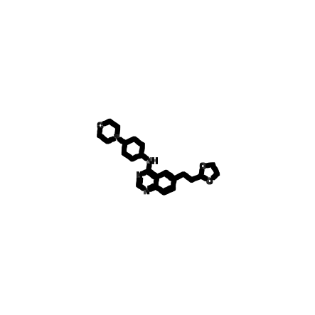 c1nc(NC2CCC(N3CCOCC3)CC2)c2cc(CCC3OCCO3)ccc2n1